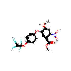 COC(=O)c1cc(Oc2ccc(OC(F)(F)C(F)F)cc2)c(OC)cc1[N+](=O)[O-]